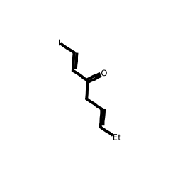 CCC=CCC(=O)C=CI